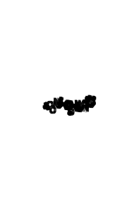 COc1cc(-c2cn(C(=O)OC(C)(C)C)nc2C)ccc1-c1ccc(N(C)C2CCN(C)C(C)(C)C2C)nn1